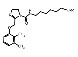 CCCCCCCCCCCCCCCCNC(=O)N1CCN=C1COc1cccc(C)c1C